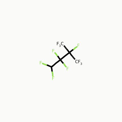 F[C](F)C(F)(F)C(F)(C(F)(F)F)C(F)(F)F